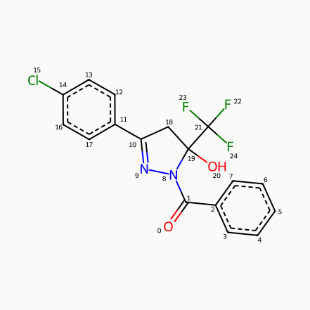 O=C(c1ccccc1)N1N=C(c2ccc(Cl)cc2)CC1(O)C(F)(F)F